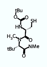 CNC(=O)[C@@H](N(C)C(=O)[C@@H](CS)NC(=O)OC(C)(C)C)C(C)(C)C